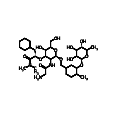 CC1CCC(CO[C@@H]2OC(CO)[C@H](O)C(O[C@@H](CC3CCCCC3)C(=O)N(C)C)C2NC(=O)CN)CC1O[C@@H]1OC(C)[C@@H](O)C(O)C1O